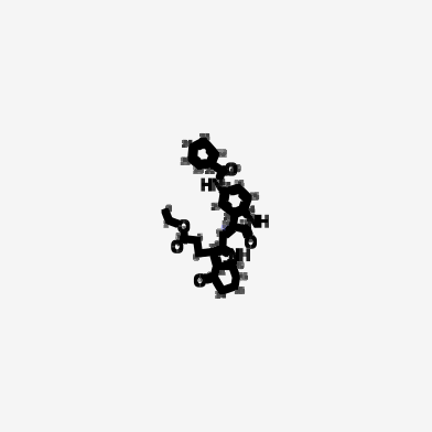 CCOC(=O)CCc1c(/C=C2\C(=O)Nc3ccc(NC(=O)c4ccccc4)cc32)[nH]c2c1C(=O)CCC2